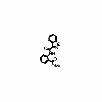 COC(=O)c1ccccc1NC(=O)c1noc2ccccc12